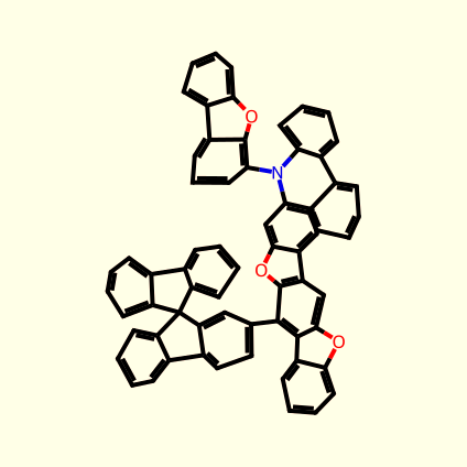 c1ccc(-c2ccccc2N(c2ccc3c(c2)oc2c(-c4ccc5c(c4)C4(c6ccccc6-c6ccccc64)c4ccccc4-5)c4c(cc23)oc2ccccc24)c2cccc3c2oc2ccccc23)cc1